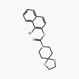 O=C(Oc1ccc2ccccc2c1Br)N1CCC2(CC1)OCCO2